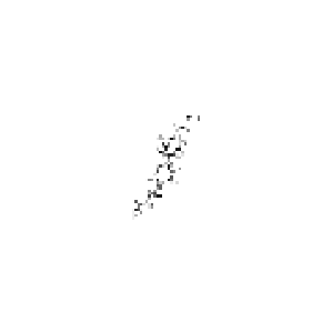 CCCCC1COC(c2ccc(OCCCF)cc2)OC1